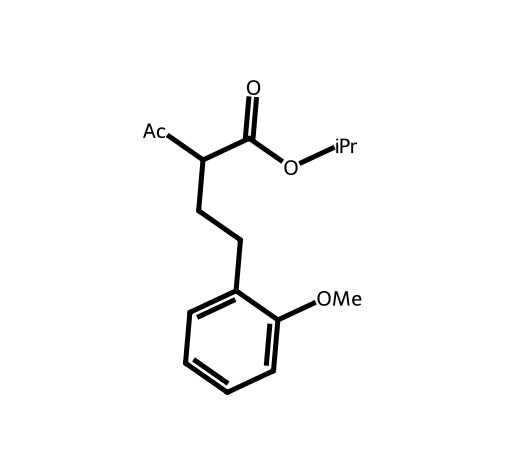 COc1ccccc1CCC(C(C)=O)C(=O)OC(C)C